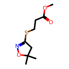 COC(=O)CCSC1=NOC(C)(C)C1